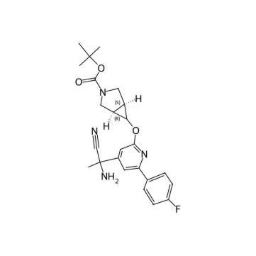 CC(C)(C)OC(=O)N1C[C@@H]2C(Oc3cc(C(C)(N)C#N)cc(-c4ccc(F)cc4)n3)[C@@H]2C1